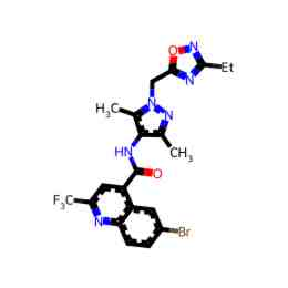 CCc1noc(Cn2nc(C)c(NC(=O)c3cc(C(F)(F)F)nc4ccc(Br)cc34)c2C)n1